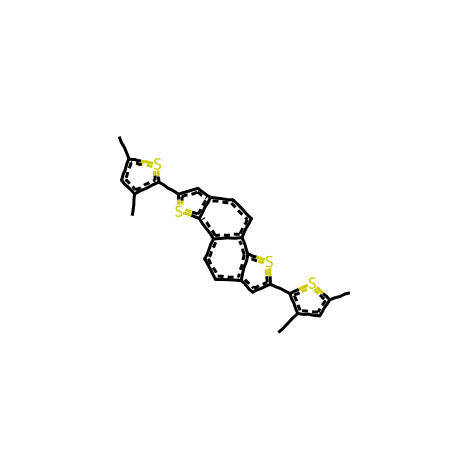 Cc1cc(C)c(-c2cc3ccc4c(ccc5cc(-c6sc(C)cc6C)sc54)c3s2)s1